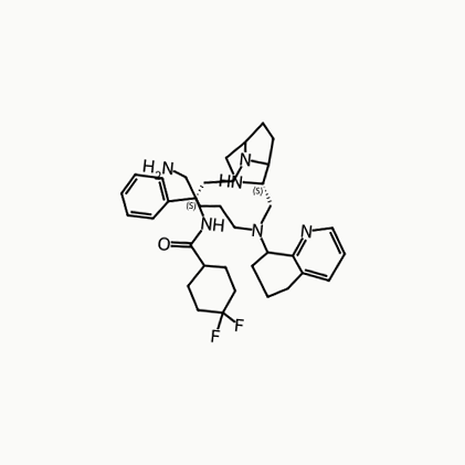 NCCCCN(C[C@@H]1NCC2CCC1N2CC[C@H](NC(=O)C1CCC(F)(F)CC1)c1ccccc1)C1CCCc2cccnc21